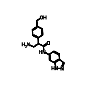 NCC(C(=O)Nc1ccc2cn[nH]c2c1)c1ccc(CO)cc1